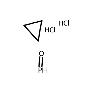 C1CC1.Cl.Cl.O=P